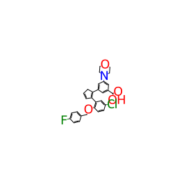 O=C(O)c1cc(C2=C(c3cc(Cl)ccc3OCc3ccc(F)cc3)C=CC2)cc(N2CCOCC2)c1